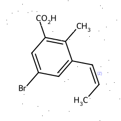 C/C=C\c1cc(Br)cc(C(=O)O)c1C